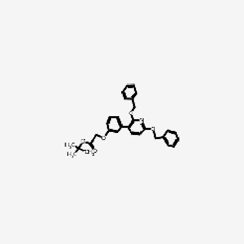 CC(C)(C)OC(=O)COc1cccc(-c2ccc(OCc3ccccc3)nc2OCc2ccccc2)c1